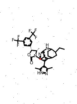 CCC1CC2CCC1Nc1ncc(-c3c(C)n[nH]c3C)c2c1CN1C(=O)O[C@H](c2cc(C(F)(F)F)cc(C(F)(F)F)c2)[C@@H]1C